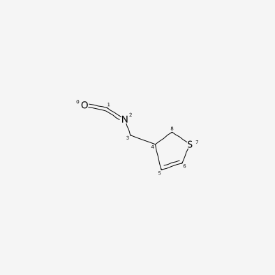 O=C=NCC1C=CSC1